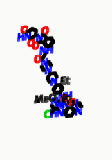 CCc1cc(Nc2ncc(Cl)c(Nc3ccc4nccnc4c3NS(C)(=O)=O)n2)c(OC)cc1N1CCC(N2CCN(C(=O)CNc3cccc4c3C(=O)N(C3CCC(=O)NC3=O)C4=O)CC2)CC1